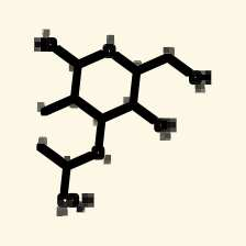 CC(OC1C(C)C(O)OC(CO)C1O)C(=O)O